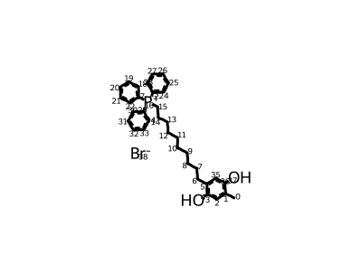 Cc1cc(O)c(CCCCCCCCCC[P+](c2ccccc2)(c2ccccc2)c2ccccc2)cc1O.[Br-]